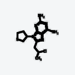 CC(Cl)Cc1nc2c(N)nc(N)nc2n1C1CCSC1